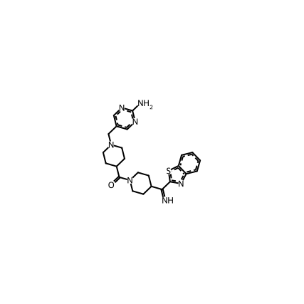 N=C(c1nc2ccccc2s1)C1CCN(C(=O)C2CCN(Cc3cnc(N)nc3)CC2)CC1